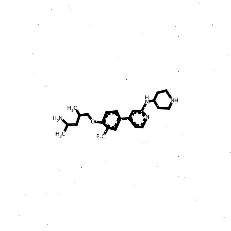 CC(N)CC(C)COc1ccc(-c2ccnc(NC3CCNCC3)c2)cc1C(F)(F)F